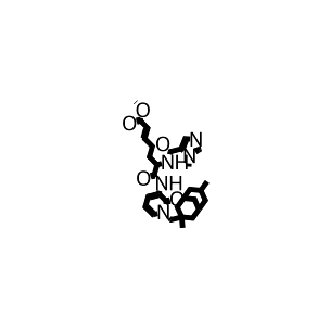 COC(=O)/C=C/CCC(NC(=O)c1cncn1C)C(=O)Nc1cccn(CC2(C)CC3CC(C)CC(C3)C2)c1=O